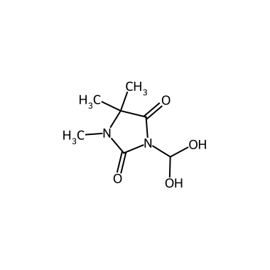 CN1C(=O)N(C(O)O)C(=O)C1(C)C